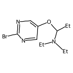 CCC(Oc1cnc(Br)nc1)N(CC)CC